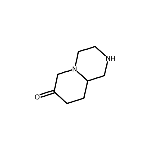 O=C1CCC2CNCCN2C1